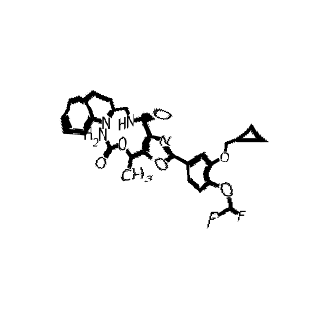 CC(OC(N)=O)c1oc(-c2ccc(OC(F)F)c(OCC3CC3)c2)nc1C(=O)NCc1ccc2ccccc2n1